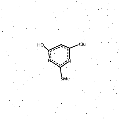 CSc1nc(O)cc(C(C)(C)C)n1